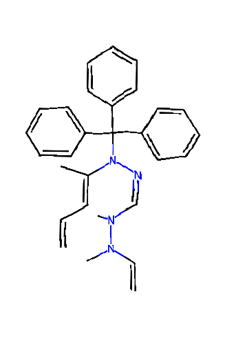 C=C/C=C(\C)N(/N=C\N(C)N(C)C=C)C(c1ccccc1)(c1ccccc1)c1ccccc1